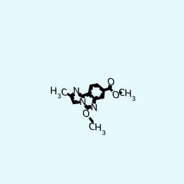 CCOc1nc2cc(C(=O)OC)ccc2c2nc(C)cn12